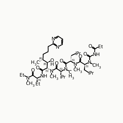 CCC(=O)NC(=O)N(C)[C@@H](CC(C)C)C(=O)N(C)[C@@H](CC(C)C)C(=O)N(C)[C@H](C(=O)N(C)[C@H](C(=O)N[C@@H](CC)C(=O)N(C)CC)[C@H](O)[C@H](C)CCCc1ncccn1)C(C)C